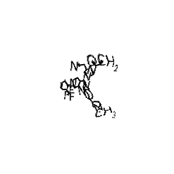 C=CC(=O)N1CCN(c2nc(OCC3CCN(C)C3)nc3c2CCN(c2ccccc2C(F)(F)F)C3)CC1CC#N